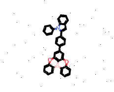 c1ccc(-n2c(-c3ccc(-c4cc5c6c(c4)Oc4ccccc4B6c4ccccc4O5)cc3)cc3ccccc32)cc1